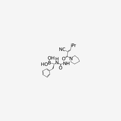 CC(C)C=C(C#N)C(=O)N1CCCC[C@@H]1CNC(=O)N[C@@H](Cc1ccccc1)B(O)O